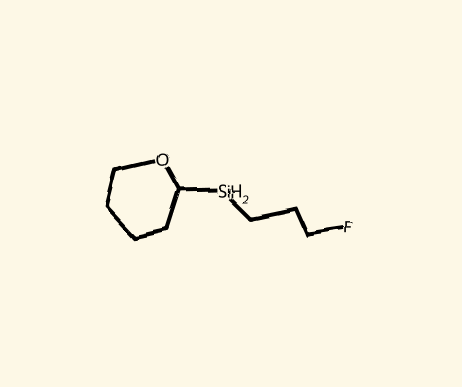 FCCC[SiH2]C1CCCCO1